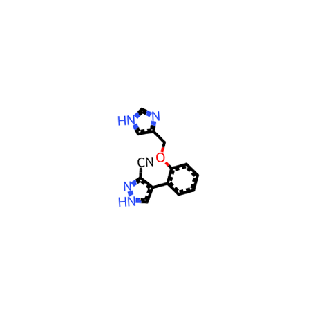 N#Cc1n[nH]cc1-c1ccccc1OCc1c[nH]cn1